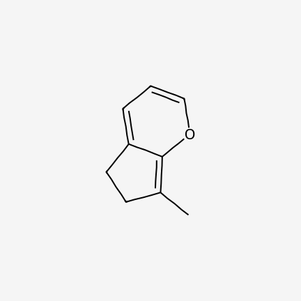 CC1=C2OC=CC=C2CC1